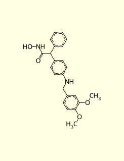 COc1ccc(CNc2ccc(C(C(=O)NO)c3ccccc3)cc2)cc1OC